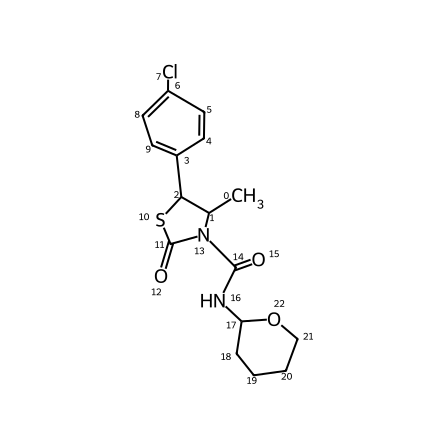 CC1C(c2ccc(Cl)cc2)SC(=O)N1C(=O)NC1CCCCO1